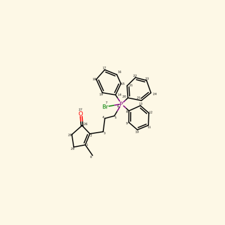 CC1=C(CCCP(Br)(c2ccccc2)(c2ccccc2)c2ccccc2)C(=O)CC1